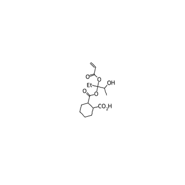 C=CC(=O)OC(CC)(OC(=O)C1CCCCC1C(=O)O)C(C)O